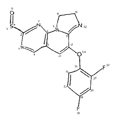 O=[S+]c1ncc2c(n1)N1CCN=C1C(Oc1ccc(F)cc1F)=C2